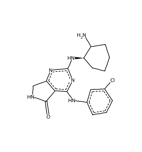 NC1CCCC[C@H]1Nc1nc2c(c(Nc3cccc(Cl)c3)n1)C(=O)NC2